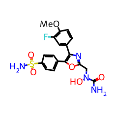 COc1ccc(-c2nc(CN(O)C(N)=O)oc2-c2ccc(S(N)(=O)=O)cc2)cc1F